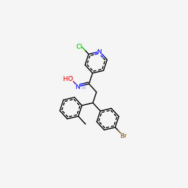 Cc1ccccc1C(C/C(=N/O)c1ccnc(Cl)c1)c1ccc(Br)cc1